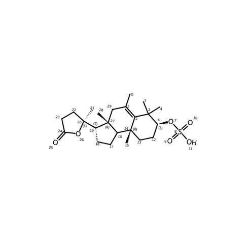 CC1=C2C(C)(C)[C@@H](OS(=O)(=O)O)CC[C@]2(C)C2CC[C@H]([C@]3(C)CCC(=O)O3)[C@]2(C)C1